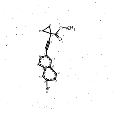 COC(=O)C1(C#Cc2ccc3cc(Br)ccc3c2)CC1